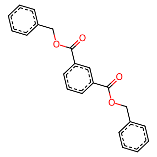 O=C(OCc1ccccc1)c1cccc(C(=O)OCc2ccccc2)c1